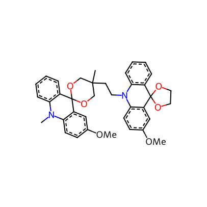 COc1ccc2c(c1)C1(OCC(C)(CCN3c4ccccc4C4(OCCO4)c4cc(OC)ccc43)CO1)c1ccccc1N2C